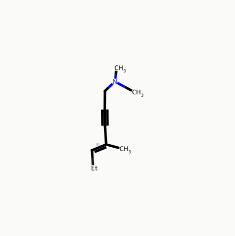 CC/C=C(\C)C#CCN(C)C